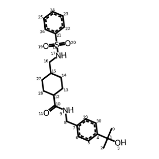 CC(C)(O)c1ccc(CNC(=O)C2CCC(CNS(=O)(=O)c3ccccc3)CC2)cc1